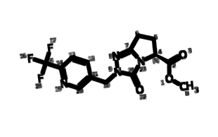 COC(=O)[C@@H]1CCc2nn(Cc3ccc(C(F)(F)F)nc3)c(=O)n21